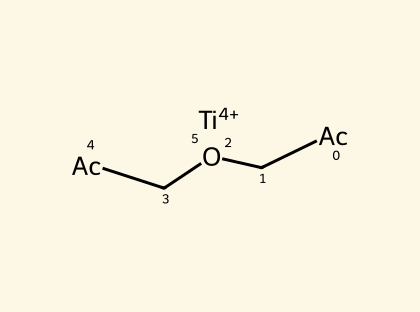 CC(=O)COCC(C)=O.[Ti+4]